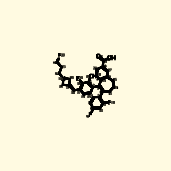 Cc1c(C2=C(c3ccc(F)cc3F)CCCc3cc(C(=O)O)ccc32)ccc(C=C2CN(CCCF)C2)c1F